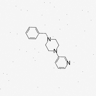 c1ccc(CN2CCN(c3cccnc3)CC2)cc1